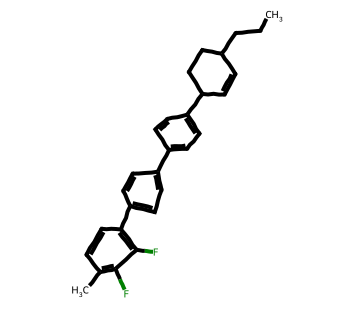 CCCC1C=CC(c2ccc(-c3ccc(-c4ccc(C)c(F)c4F)cc3)cc2)CC1